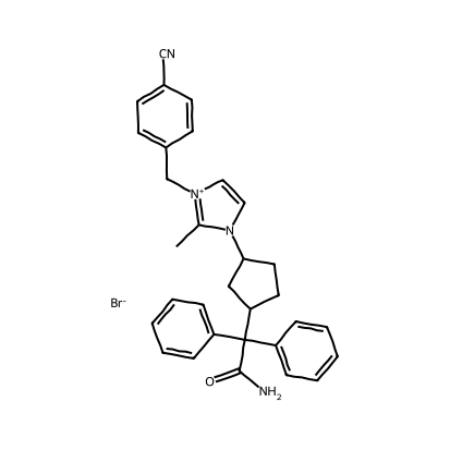 Cc1n(C2CCC(C(C(N)=O)(c3ccccc3)c3ccccc3)C2)cc[n+]1Cc1ccc(C#N)cc1.[Br-]